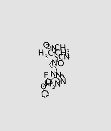 CN(C1COC1)C(C)(C)C=C(C#N)C(=O)N1CCCC1Cc1nc(-c2ccc(Oc3ccccc3)cc2F)c2c(N)nccn12